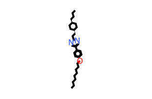 CCCCCCCCCOc1ccc(-c2cnc(CC[C@H]3CC[C@H](CCCC)CC3)nc2)cc1